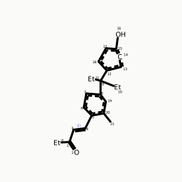 CCC(=O)/C=C/c1ccc(C(CC)(CC)c2ccc(O)cc2)cc1C